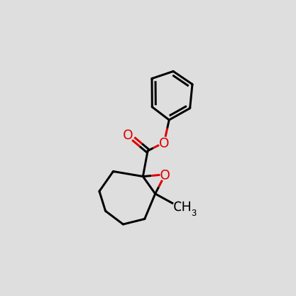 CC12CCCCCC1(C(=O)Oc1ccccc1)O2